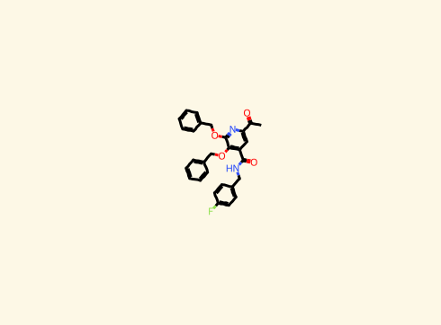 CC(=O)c1cc(C(=O)NCc2ccc(F)cc2)c(OCc2ccccc2)c(OCc2ccccc2)n1